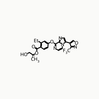 CCc1cc(Oc2nccn3c(-c4conc4C(F)(F)F)cnc23)ccc1C(=O)O[C@H](C)CO